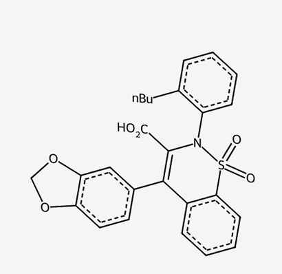 CCCCc1ccccc1N1C(C(=O)O)=C(c2ccc3c(c2)OCO3)c2ccccc2S1(=O)=O